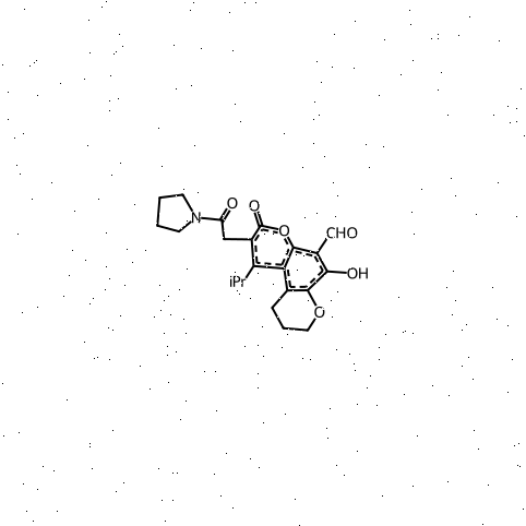 CC(C)c1c(CC(=O)N2CCCC2)c(=O)oc2c(C=O)c(O)c3c(c12)CCCO3